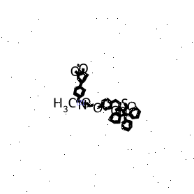 C/C(=N/OCCOc1ccc(CC2SC(=O)N(C(c3ccccc3)(c3ccccc3)c3ccccc3)C2=O)cc1)c1ccc(-c2ccc3c(c2)OCO3)cc1